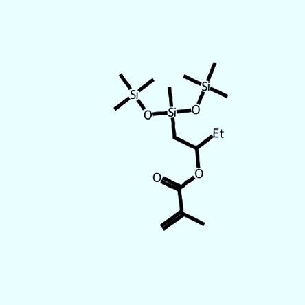 C=C(C)C(=O)OC(CC)C[Si](C)(O[Si](C)(C)C)O[Si](C)(C)C